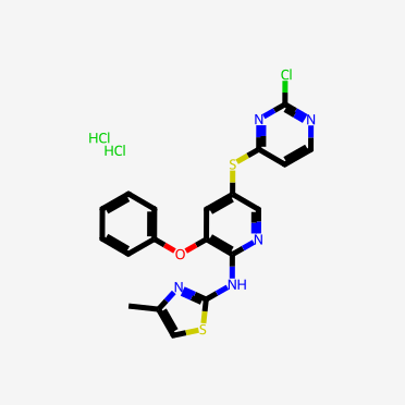 Cc1csc(Nc2ncc(Sc3ccnc(Cl)n3)cc2Oc2ccccc2)n1.Cl.Cl